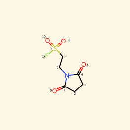 O=C1CCC(=O)N1CCS(=O)(=O)F